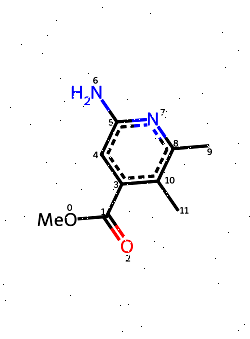 COC(=O)c1cc(N)nc(C)c1C